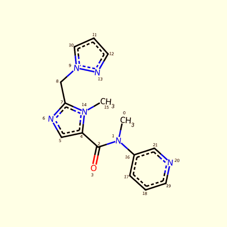 CN(C(=O)c1cnc(Cn2cccn2)n1C)c1cccnc1